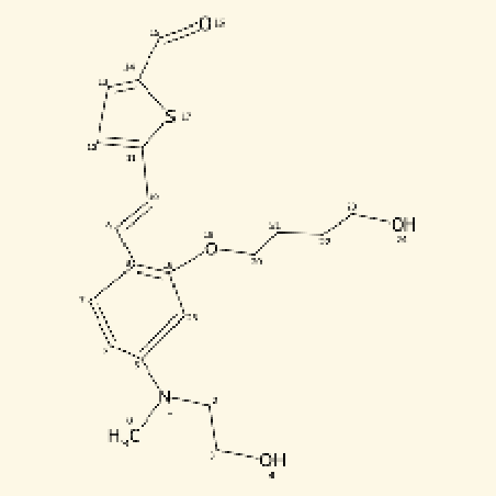 CN(CCO)c1ccc(C=Cc2ccc(C=O)s2)c(OCCCCO)c1